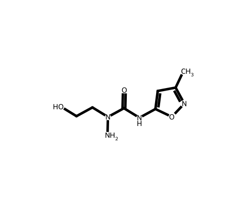 Cc1cc(NC(=O)N(N)CCO)on1